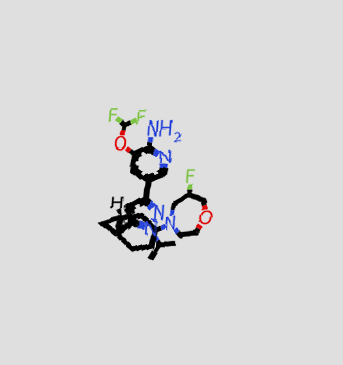 CC(C)n1nc(-c2cnc(N)c(OC(F)F)c2)cc1C12CCC(N3CCOCC(F)C3)C[C@H]1C2